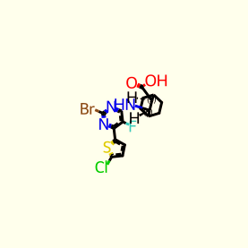 O=C(O)[C@H]1C2CCC(CC2)[C@@H]1Nc1nc(Br)nc(-c2ccc(Cl)s2)c1F